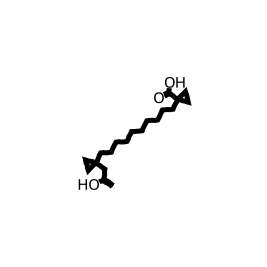 C=C(O)CC1(CCCCCCCCCCC2(C(=O)O)CC2)CC1